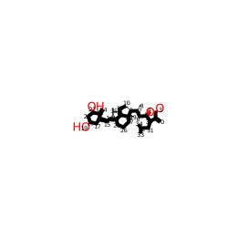 C=C1C(=O)OC(C[C@@H](C)[C@H]2CC[C@H]3/C(=C/C=C4/C[C@@H](O)C[C@H](O)C4=C)CCC[C@]23C)C1CC(C)C